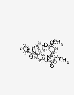 CCC1OC(=O)N(Cc2ccc(NC(=O)c3cccs3)cc2)N=C1c1ccc(OC)c(OC2CCCC2)c1